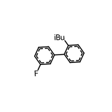 CCC(C)c1ccccc1-c1cccc(F)c1